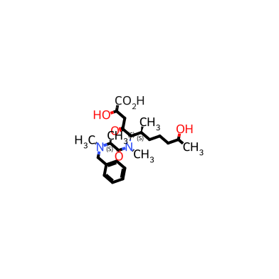 CC(O)CCC[C@H](C)[C@@H](C(=O)CC(O)C(=O)O)N(C)C(=O)[C@H](C)N(C)Cc1ccccc1